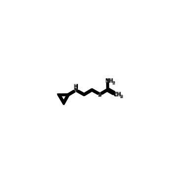 C=C(N)SCCNC1CC1